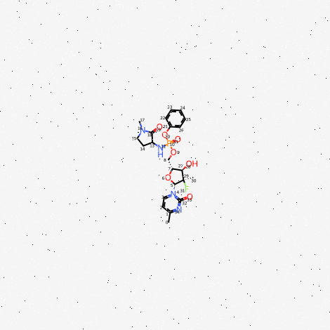 Cc1ccn([C@@H]2O[C@H](COP(=O)(NC3CCN(C)C3=O)Oc3ccccc3)[C@@H](O)[C@@]2(C)F)c(=O)n1